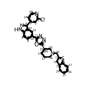 Clc1cc(-c2n[nH]c3ccc(-c4nnc([C@@H]5CCCN(Cc6cc7ccccc7s6)C5)o4)cc23)ccn1